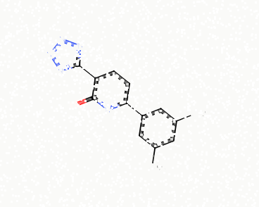 COc1cc(OC)cc(-c2ccc(-c3nnn[nH]3)c(=O)[nH]2)c1